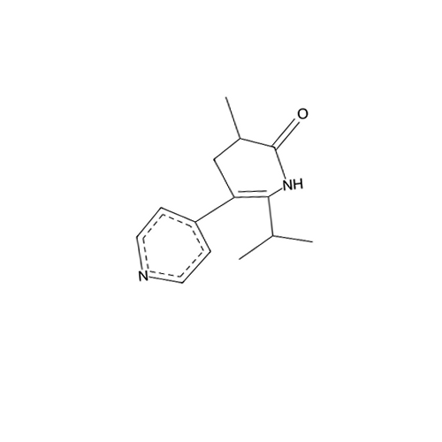 CC(C)C1=C(c2ccncc2)CC(C)C(=O)N1